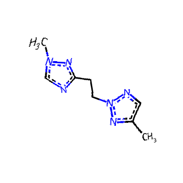 Cc1cnn(CCc2ncn(C)n2)n1